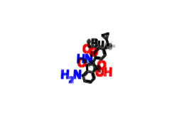 C[C@H](c1ccc2c(c1)O[C@]1(O)c3cccc(N)c3C(=O)[C@]21NC(=O)OC(C)(C)C)C1CC1